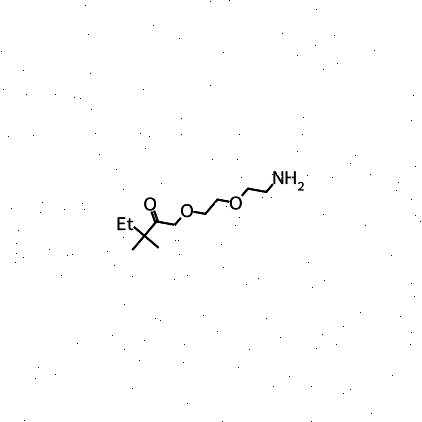 CCC(C)(C)C(=O)COCCOCCN